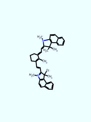 CCC1(C)C(/C=C/C2=C(C)C(=C/C=C3/N(C)c4ccc5ccccc5c4C3(C)C)/CCC2)=[N+](C)c2ccc3ccccc3c21